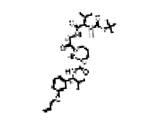 C=CCOc1cccc([C@H](NC(=O)[C@@H]2CCCN(C(=O)[C@H](C)NC(=O)C(NC(=O)OC(C)(C)C)C(C)C)N2)C(C)C)c1